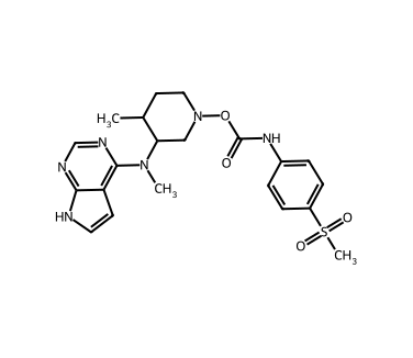 CC1CCN(OC(=O)Nc2ccc(S(C)(=O)=O)cc2)CC1N(C)c1ncnc2[nH]ccc12